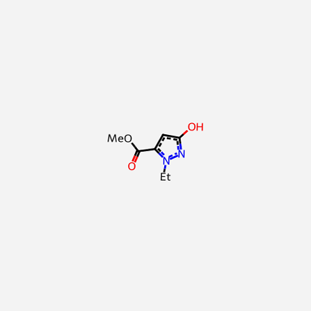 CCn1nc(O)cc1C(=O)OC